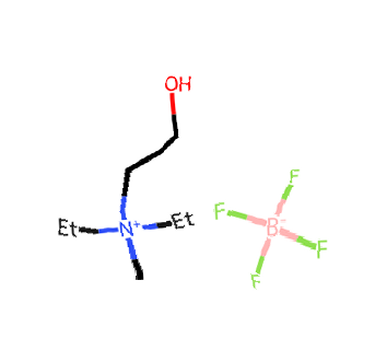 CC[N+](C)(CC)CCO.F[B-](F)(F)F